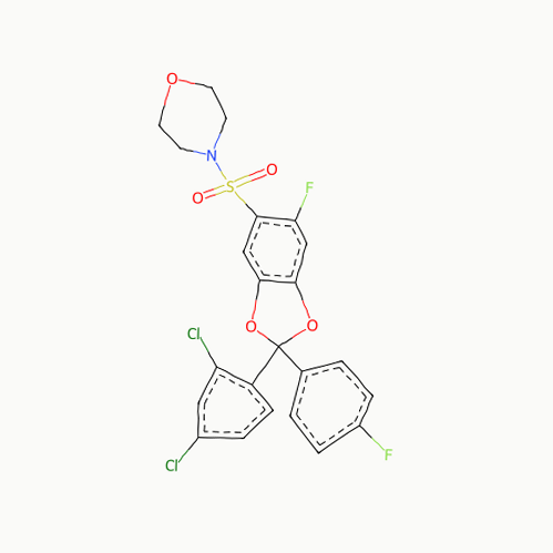 O=S(=O)(c1cc2c(cc1F)OC(c1ccc(F)cc1)(c1ccc(Cl)cc1Cl)O2)N1CCOCC1